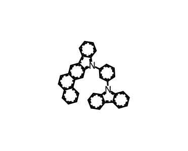 c1cc(-n2c3ccccc3c3ccccc32)cc(-n2c3ccccc3c3cc4ccc5ccccc5c4cc32)c1